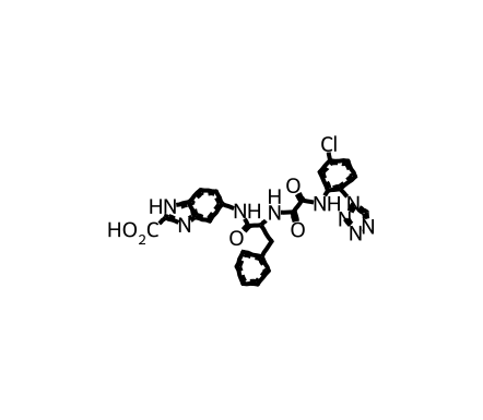 O=C(Nc1cc(Cl)ccc1-n1cnnn1)C(=O)NC(Cc1ccccc1)C(=O)Nc1ccc2[nH]c(C(=O)O)nc2c1